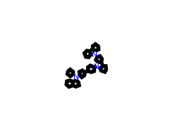 c1ccc(N(c2ccc(-c3ccc(-n4c5ccccc5c5ccc(-n6c7ccccc7c7ccccc76)cc54)cc3)cc2)c2cccc3ccccc23)cc1